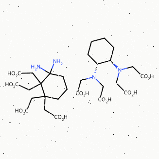 NC1(N)CCCC(CC(=O)O)(CC(=O)O)C1(CC(=O)O)CC(=O)O.O=C(O)CN(CC(=O)O)[C@@H]1CCCC[C@H]1N(CC(=O)O)CC(=O)O